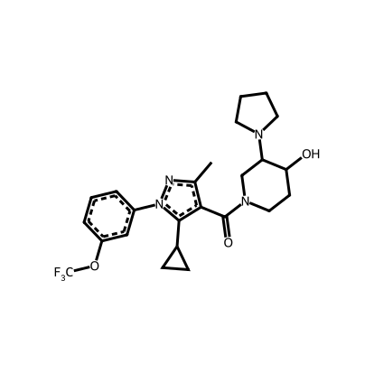 Cc1nn(-c2cccc(OC(F)(F)F)c2)c(C2CC2)c1C(=O)N1CCC(O)C(N2CCCC2)C1